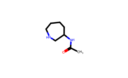 CC(=O)NC1CCCCNC1